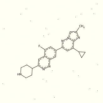 Cc1cn2nc(-c3cc(F)c4cc(C5CCNCC5)nnc4c3)cc(C3CC3)c2n1